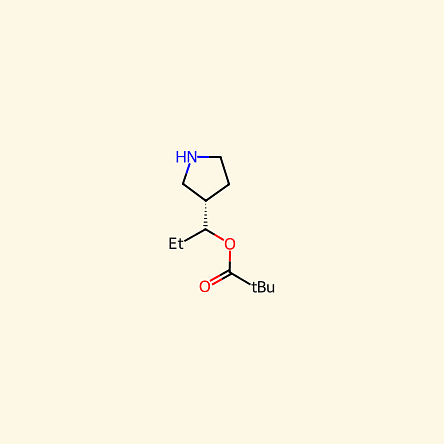 CCC(OC(=O)C(C)(C)C)[C@H]1CCNC1